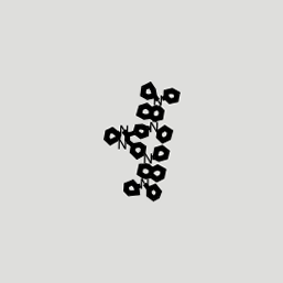 c1ccc(N(c2ccccc2)c2ccc(N(c3ccccc3)c3ccc(-c4nc5ccccc5nc4-c4ccc(N(c5ccccc5)c5ccc(N(c6ccccc6)c6ccccc6)c6ccccc56)cc4)cc3)c3ccccc23)cc1